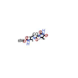 Cc1cn(CC(=O)N2C[C@@H](NC(=O)OC(C)(C)C)C[C@H]2C(=O)O)c(=O)[nH]c1=O